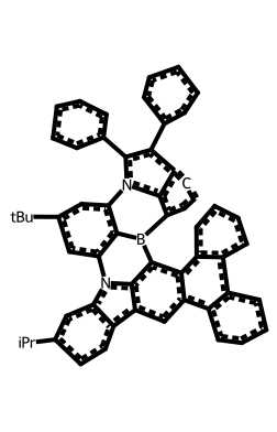 CC(C)c1ccc2c3cc4c5ccccc5c5ccccc5c4c4c3n(c2c1)-c1cc(C(C)(C)C)cc2c1B4c1cccc3c(-c4ccccc4)c(-c4ccccc4)n-2c13